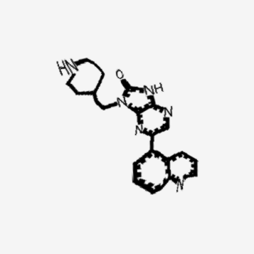 O=c1[nH]c2ncc(-c3cccc4ncccc34)nc2n1CC1CCNCC1